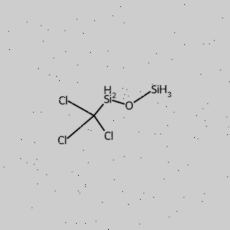 [SiH3]O[SiH2]C(Cl)(Cl)Cl